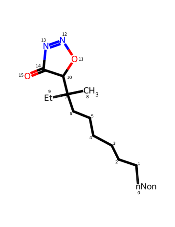 CCCCCCCCCCCCCCCC(C)(CC)C1ON=NC1=O